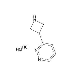 Cl.Cl.c1cnnc(C2CNC2)c1